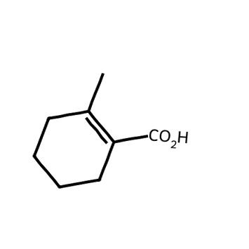 CC1=C(C(=O)O)CCCC1